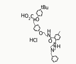 Cc1ccc([C@@H]2C3CN(Cc4ccccc4)C[C@@H]32)c(C(=O)NCCOc2ccc(C[C@H](Oc3ccc(C(C)(C)C)cc3)C(=O)O)cc2)c1.Cl